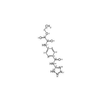 CCOC(=O)C(=O)Nc1ccc(C(=O)Nc2nnn[nH]2)cc1